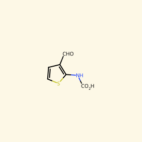 O=Cc1ccsc1NC(=O)O